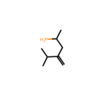 C=C(CC(C)P)C(C)C